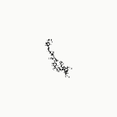 CCCCc1nc2c(N)nc3cc(C)sc3c2n1CC1CCN(C(=O)C2CCC(CN/C=C(/CNC(=O)CCCC#Cc3cnc(SC)nc3)N=N)CC2)CC1